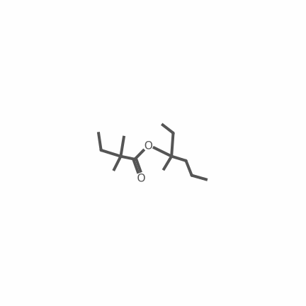 CCCC(C)(CC)OC(=O)C(C)(C)CC